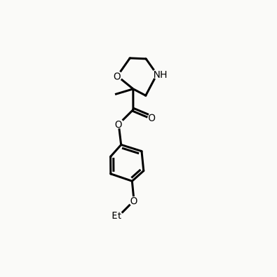 CCOc1ccc(OC(=O)C2(C)CNCCO2)cc1